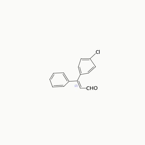 O=C/C=C(/c1ccccc1)c1ccc(Cl)cc1